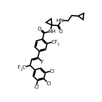 O=C(NC1(C(=O)NCCC2CC2)CC1)c1ccc(C(F)=CC(c2cc(Cl)c(Cl)c(Cl)c2)C(F)(F)F)cc1C(F)(F)F